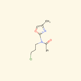 Cc1coc(N(CCCCl)C(=O)C(C)C)n1